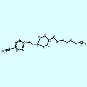 C#Cc1ccc(CC[C@H]2CC[C@H](CCCCCCC)CC2)cc1